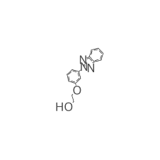 OCCOc1cccc(-n2nc3ccccc3n2)c1